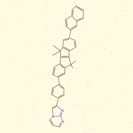 CC1(C)C2=C(c3ccc(-c4ccc(-c5cn6cccnc6n5)cc4)cc31)C(C)(C)c1cc(-c3ccc4ccccc4c3)ccc12